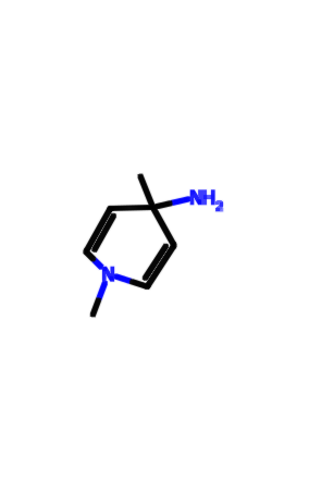 CN1C=CC(C)(N)C=C1